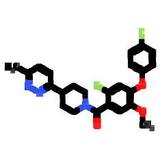 COc1cc(C(=O)N2CCC(c3ccc(C)nn3)CC2)c(F)cc1Oc1ccc(F)cc1